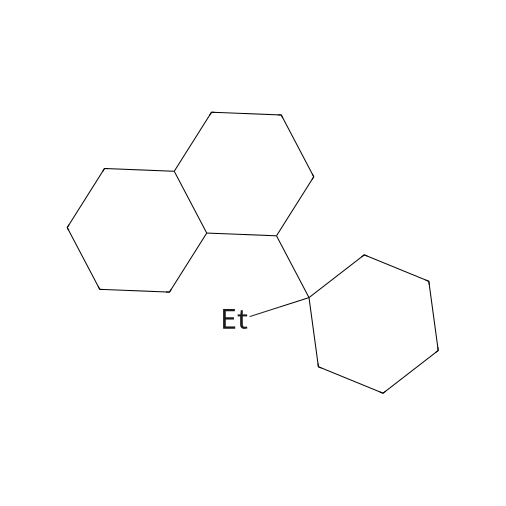 CCC1(C2CCCC3CCCCC32)CCCCC1